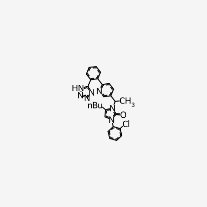 CCCCc1cn(-c2ccccc2Cl)c(=O)n1C(C)c1ccc(-c2ccccc2-c2nnn[nH]2)nc1